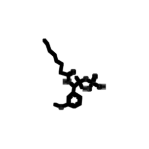 CCCCCCCC(=O)NC(c1cccc(OC)c1)C(C)(C)OP(=O)(O)O